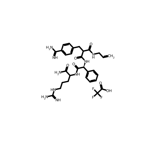 C=CCNC(=O)C(Cc1ccc(C(=N)N)cc1)C(=O)N[C@H](C(=O)NC(CCCNC(=N)N)C(N)=O)c1ccccc1.O=C(O)C(F)(F)F